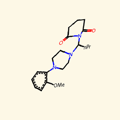 CCCC(N1CCN(c2ccccc2OC)CC1)N1C(=O)CCCC1=O